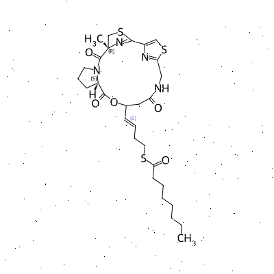 CCCCCCCC(=O)SCC/C=C/C1CC(=O)NCc2nc(cs2)C2=N[C@@](C)(CS2)C(=O)N2CCC[C@H]2C(=O)O1